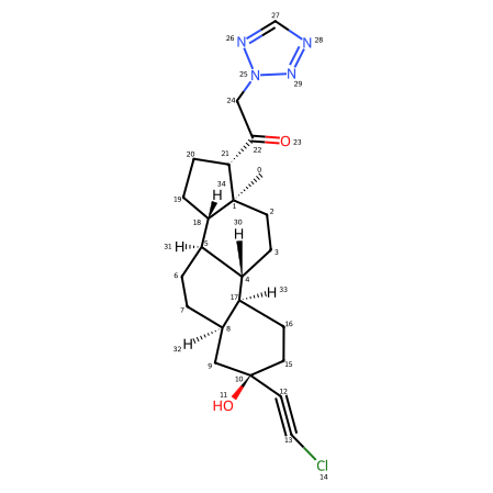 C[C@]12CC[C@H]3[C@@H](CC[C@@H]4C[C@@](O)(C#CCl)CC[C@@H]43)[C@@H]1CC[C@@H]2C(=O)Cn1ncnn1